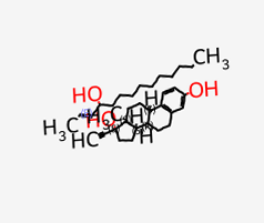 C#C[C@]1(O)CC[C@H]2[C@@H]3CCc4cc(O)ccc4[C@H]3CC[C@@]21C.C/C=C/C(O)CCCCCCCCCC